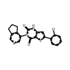 O=c1[nH]c2cc(-c3ccccc3Cl)sc2c(=O)n1-c1cncc2c1CCC2